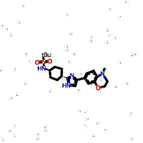 CN1CCOc2cc(-c3c[nH]c([C@H]4CC[C@H](NS(=O)(=O)C(C)(C)C)CC4)n3)ccc21